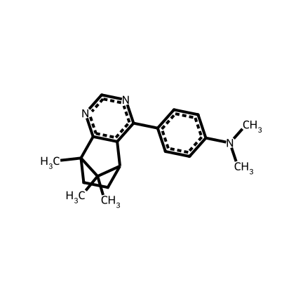 CN(C)c1ccc(-c2ncnc3c2C2CCC3(C)C2(C)C)cc1